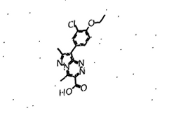 CCOc1ccc(-c2c(C)nn3c(C)c(C(=O)O)nnc23)cc1Cl